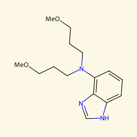 COCCCN(CCCOC)c1cccc2[nH]cnc12